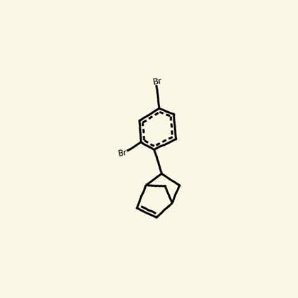 Brc1ccc(C2CC3C=CC2C3)c(Br)c1